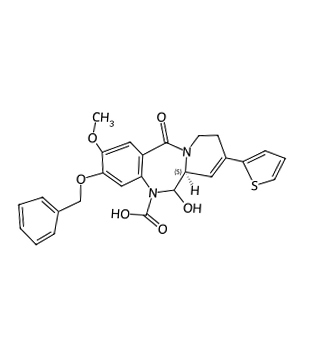 COc1cc2c(cc1OCc1ccccc1)N(C(=O)O)C(O)[C@@H]1C=C(c3cccs3)CCN1C2=O